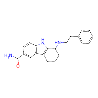 NC(=O)c1ccc2[nH]c3c(c2c1)CCCC3NCCc1ccccc1